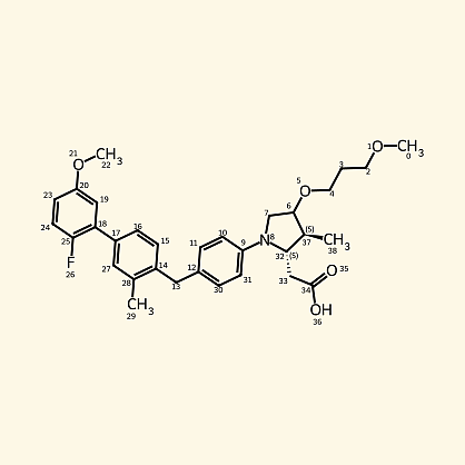 COCCCOC1CN(c2ccc(Cc3ccc(-c4cc(OC)ccc4F)cc3C)cc2)[C@@H](CC(=O)O)[C@@H]1C